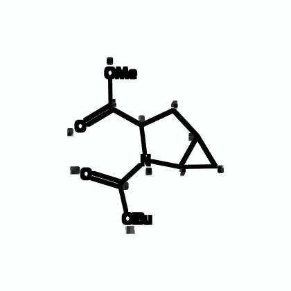 COC(=O)C1CC2CC2N1C(=O)OCC(C)C